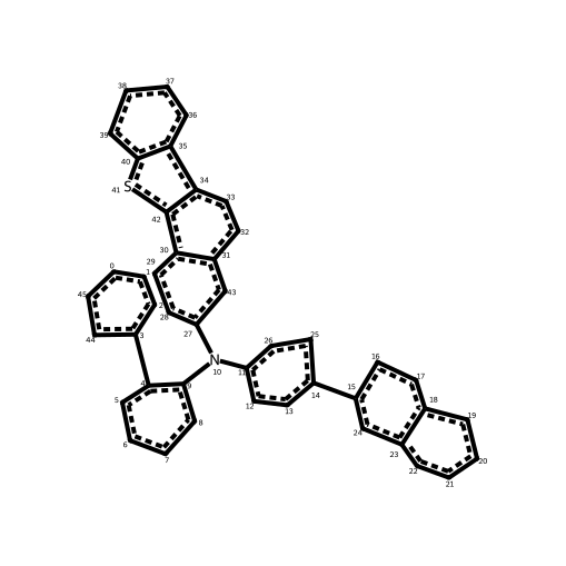 c1ccc(-c2ccccc2N(c2ccc(-c3ccc4ccccc4c3)cc2)c2ccc3c(ccc4c5ccccc5sc34)c2)cc1